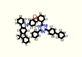 CC1(C)c2ccccc2-c2cc3c(cc21)c1ccccc1n3-c1ccc2c3c(oc2c1)C=CCC3c1nc(-c2ccccc2)nc(-c2ccc(-c3ccccc3)cc2)n1